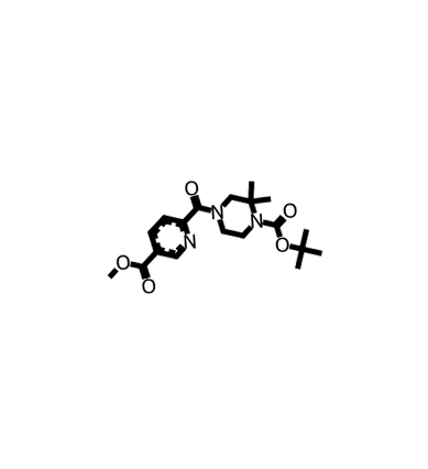 COC(=O)c1ccc(C(=O)N2CCN(C(=O)OC(C)(C)C)C(C)(C)C2)nc1